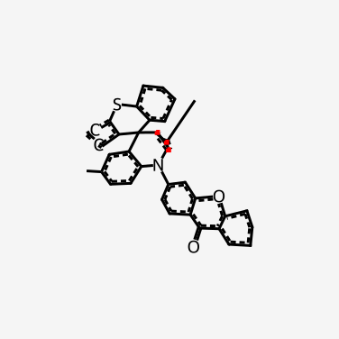 Cc1ccc2c(c1)C1(c3ccccc3Sc3ccccc31)c1cc(C)ccc1N2c1ccc2c(=O)c3ccccc3oc2c1